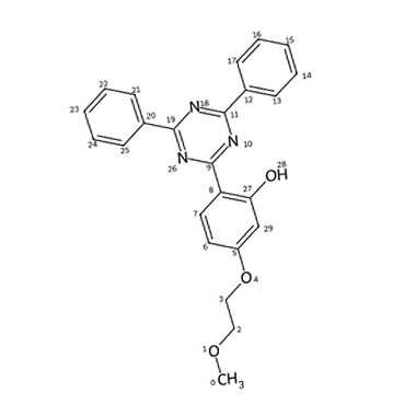 COCCOc1ccc(-c2nc(-c3ccccc3)nc(-c3ccccc3)n2)c(O)c1